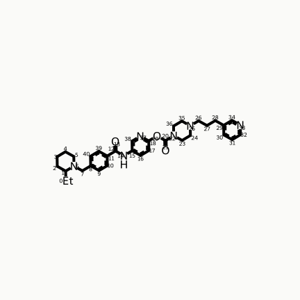 CCC1CCCCN1Cc1ccc(C(=O)Nc2ccc(OC(=O)N3CCN(CCCc4cccnc4)CC3)nc2)cc1